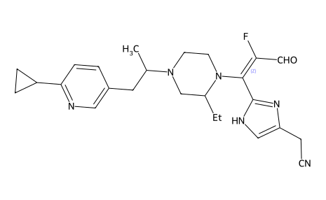 CCC1CN(C(C)Cc2ccc(C3CC3)nc2)CCN1/C(=C(\F)C=O)c1nc(CC#N)c[nH]1